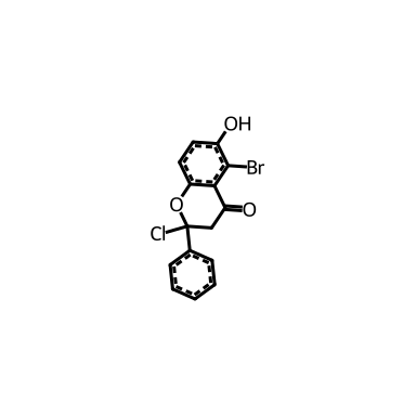 O=C1CC(Cl)(c2ccccc2)Oc2ccc(O)c(Br)c21